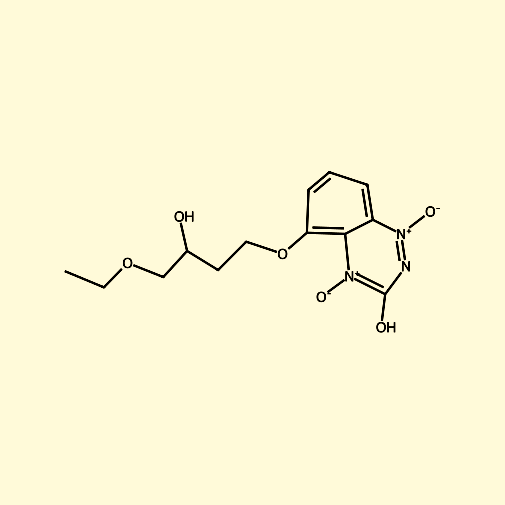 CCOCC(O)CCOc1cccc2c1[n+]([O-])c(O)n[n+]2[O-]